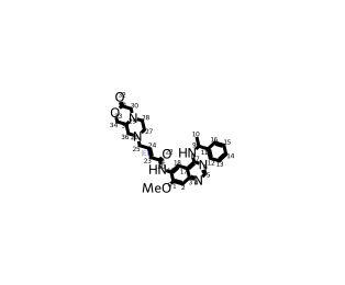 COc1cc2ncnc(NC(C)c3ccccc3)c2cc1NC(=O)/C=C/CN1CCN2CC(=O)OCC2C1